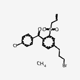 C.C=CCS(=O)(=O)c1cc(CCCBr)ccc1C(=O)c1ccc(Cl)cc1